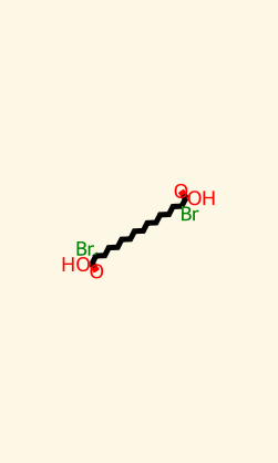 O=C(O)C(Br)CCCCCCCCCCCCC(Br)C(=O)O